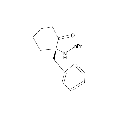 CCCN[C@]1(Cc2ccccc2)CCCCC1=O